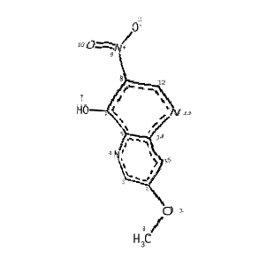 COc1cnc2c(O)c([N+](=O)[O-])cnc2c1